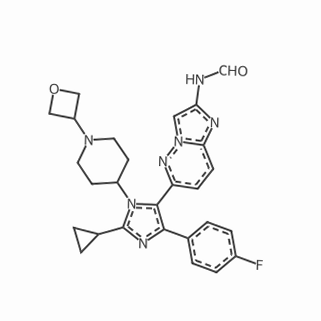 O=CNc1cn2nc(-c3c(-c4ccc(F)cc4)nc(C4CC4)n3C3CCN(C4COC4)CC3)ccc2n1